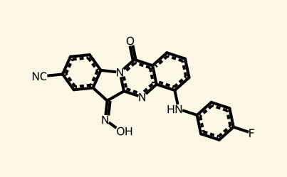 N#Cc1ccc2c(c1)/C(=N/O)c1nc3c(Nc4ccc(F)cc4)cccc3c(=O)n1-2